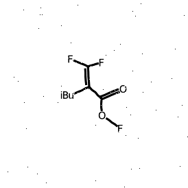 CCC(C)C(C(=O)OF)=C(F)F